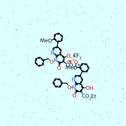 CCOC(=O)c1c(O)c2cc(-c3ccccc3OC)cnc2n(OCc2ccccc2)c1=O.CCOC(=O)c1c(OS(=O)(=O)C(F)(F)F)c2cc(-c3ccccc3OC)cnc2n(OCc2ccccc2)c1=O